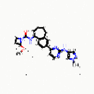 CC(C)OC1CCN1C(=O)NC1CCCCc2cc(-c3ccnc(Nc4cnn(C)c4)n3)ccc21